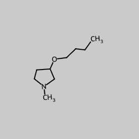 CCCCOC1CCN(C)C1